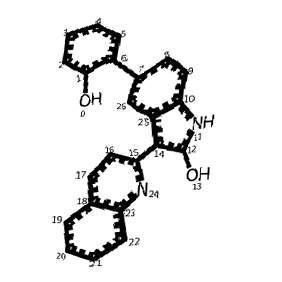 Oc1ccccc1-c1ccc2[nH]c(O)c(-c3ccc4ccccc4n3)c2c1